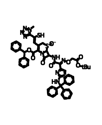 Cn1nnnc1C(S)=CC1=C(C(=O)OC(c2ccccc2)c2ccccc2)N2C(=O)C(NC(=O)C(=NOCC(=O)OC(C)(C)C)c3csc(NC(c4ccccc4)(c4ccccc4)c4ccccc4)n3)C2[S+]([O-])C1